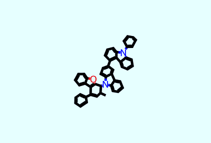 CC1C=C(c2ccccc2)c2c(oc3ccccc23)C1n1c2ccccc2c2cc(-c3cccc4c3c3ccccc3n4-c3ccccc3)ccc21